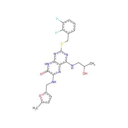 Cc1ccc(CNc2nc3c(NCC(C)O)nc(SCc4cccc(F)c4F)nc3[nH]c2=O)o1